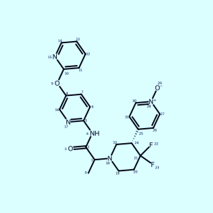 CC(C(=O)Nc1ccc(Oc2ccccn2)cn1)N1CCC(F)(F)[C@@H](c2cc[n+]([O-])cc2)C1